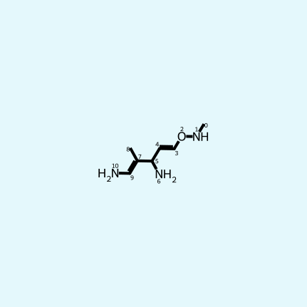 CNO/C=C/C(N)/C(C)=C/N